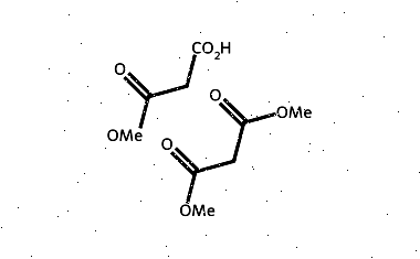 COC(=O)CC(=O)O.COC(=O)CC(=O)OC